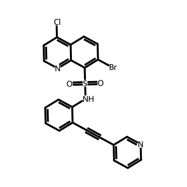 O=S(=O)(Nc1ccccc1C#Cc1cccnc1)c1c(Br)ccc2c(Cl)ccnc12